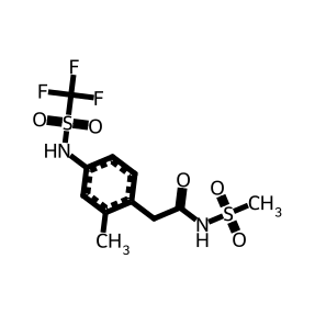 Cc1cc(NS(=O)(=O)C(F)(F)F)ccc1CC(=O)NS(C)(=O)=O